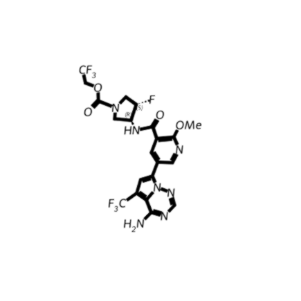 COc1ncc(-c2cc(C(F)(F)F)c3c(N)ncnn23)cc1C(=O)N[C@@H]1CN(C(=O)OCC(F)(F)F)C[C@@H]1F